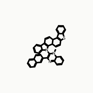 CN1C(n2c3c(c4ccccc42)C=CC2c4c(sc5ccccc45)C=CC32)=C(c2ccc3ccccc3c2)N=C2C=CC=CC21